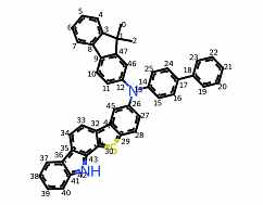 CC1(C)c2ccccc2-c2ccc(N(c3ccc(-c4ccccc4)cc3)c3ccc4sc5c(ccc6c7ccccc7[nH]c65)c4c3)cc21